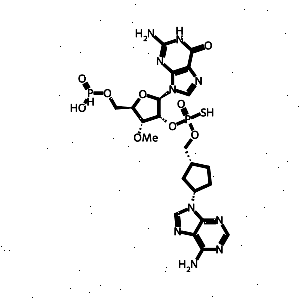 CO[C@H]1[C@@H](OP(=O)(S)OC[C@@H]2CC[C@H](n3cnc4c(N)ncnc43)C2)[C@H](n2cnc3c(=O)[nH]c(N)nc32)O[C@@H]1CO[PH](=O)O